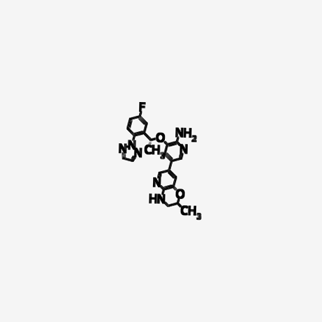 CC1CNc2ncc(-c3cnc(N)c(O[C@H](C)c4cc(F)ccc4-n4nccn4)c3)cc2O1